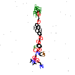 CC(C)N(C(C)C)P(OCCC#N)OCCN(C(=O)Oc1ccc(OCCOc2ccc3c(c2)CC[C@@H]2[C@@H]3CC[C@]3(C)[C@@H](OCCCOC(C(F)(F)F)(C(F)(F)F)C(F)(F)F)CC[C@@H]23)cc1F)C1CCSSC1